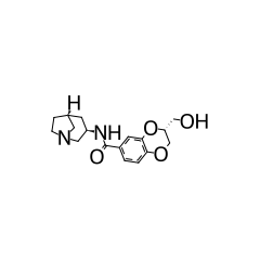 O=C(N[C@@H]1C[C@H]2CCN(C2)C1)c1ccc2c(c1)O[C@H](CO)CO2